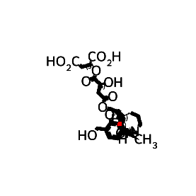 CN1CCC[C@]23c4c5ccc(CO)c4O[C@H]2C(OC(=O)C[C@H](O)C(=O)O[C@@H](CC(=O)O)C(=O)O)=CC[C@@]3(O)[C@H]1C5